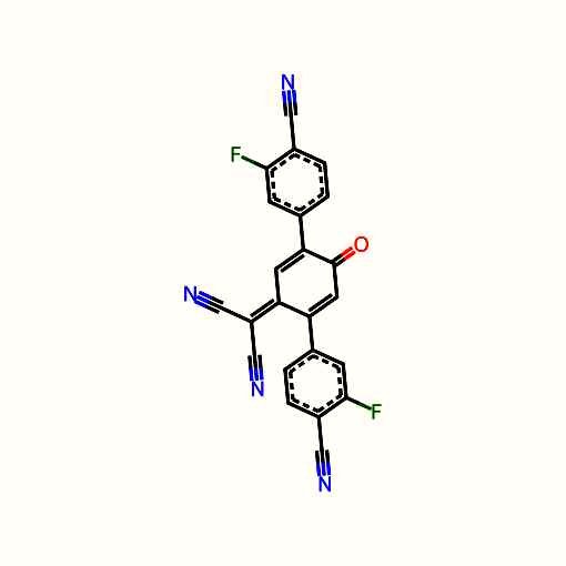 N#CC(C#N)=C1C=C(c2ccc(C#N)c(F)c2)C(=O)C=C1c1ccc(C#N)c(F)c1